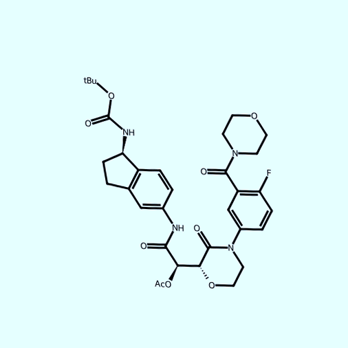 CC(=O)O[C@@H](C(=O)Nc1ccc2c(c1)CC[C@H]2NC(=O)OC(C)(C)C)[C@H]1OCCN(c2ccc(F)c(C(=O)N3CCOCC3)c2)C1=O